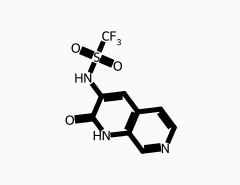 O=c1[nH]c2cnccc2cc1NS(=O)(=O)C(F)(F)F